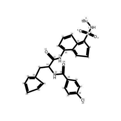 CC(C)(C)NS(=O)(=O)c1cccc2c(NC(=O)C(Cc3ccccc3)NC(=O)c3ccc(Cl)cc3)cccc12